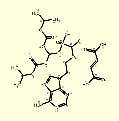 CC(C)OC(=O)OC(OC(=O)OC(C)C)OP(=O)(O)C(C)OCCn1cnc2c(N)ncnc21.O=C(O)/C=C/C(=O)O